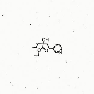 CC[CH]C(O)(C[CH]c1cccnc1)C(=O)OCC